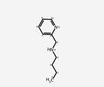 CCCCNCc1ccccn1